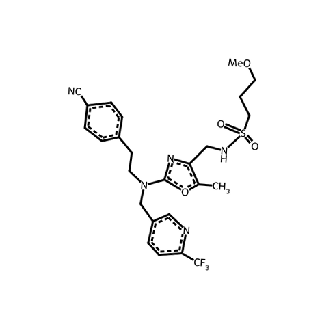 COCCCS(=O)(=O)NCc1nc(N(CCc2ccc(C#N)cc2)Cc2ccc(C(F)(F)F)nc2)oc1C